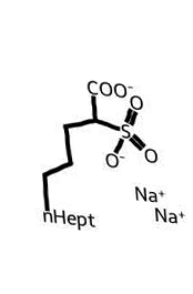 CCCCCCCCCCC(C(=O)[O-])S(=O)(=O)[O-].[Na+].[Na+]